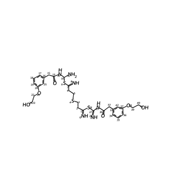 N=C(CCSCCC(=N)SC(N)NC(=O)Cc1cccc(OCCO)c1)SC(=N)NC(=O)Cc1cccc(OCCO)c1